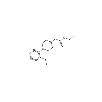 CCOC(=O)CN1CCN(c2ncncc2CC)CC1